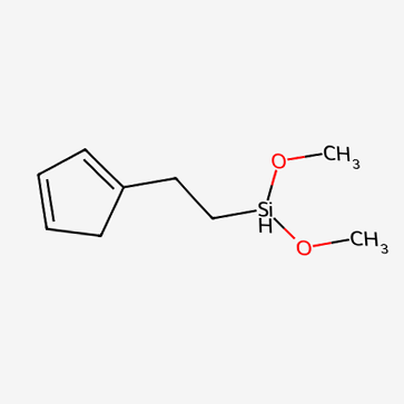 CO[SiH](CCC1=CC=CC1)OC